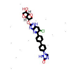 O=c1ncn(-c2ccc(-c3ccc(-c4nc5nc(O[C@@H]6CO[C@@H]7C(O)CO[C@@H]76)[nH]c5cc4Cl)cc3)cc2)[nH]1